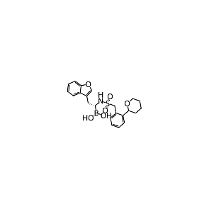 O=S(=O)(Cc1ccccc1C1CCCCO1)N[C@@H](Cc1coc2ccccc12)B(O)O